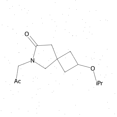 CC(=O)CN1CC2(CC1=O)CC(OC(C)C)C2